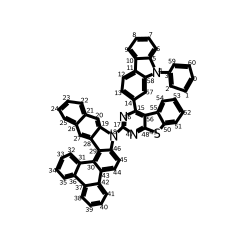 c1ccc(-n2c3ccccc3c3ccc(-c4nc(-n5c6cc7ccccc7cc6c6c7c8ccccc8c8ccccc8c7ccc65)nc5sc6ccccc6c45)cc32)cc1